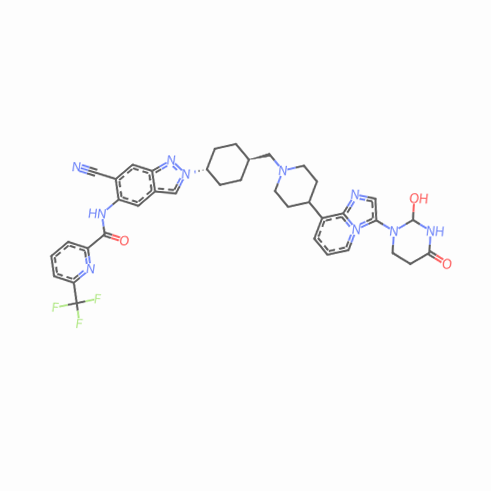 N#Cc1cc2nn([C@H]3CC[C@H](CN4CCC(c5cccn6c(N7CCC(=O)NC7O)cnc56)CC4)CC3)cc2cc1NC(=O)c1cccc(C(F)(F)F)n1